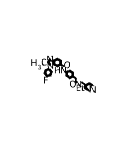 CCN(Cc1ccncc1)C(=O)Cc1ccc(NC(=O)c2ccc3nc(C)n(-c4ccc(F)cc4)c3c2)cc1